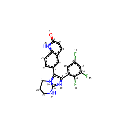 O=c1ccc2cc(-c3c(-c4cc(F)cc(F)c4F)nc4n3CCCN4)ccc2[nH]1